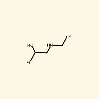 [CH2]CC(O)CNCCCC